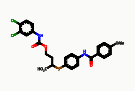 COc1ccc(C(=O)Nc2ccc(SC(CCOC(=O)Nc3ccc(Cl)c(Cl)c3)C(=O)O)cc2)cc1